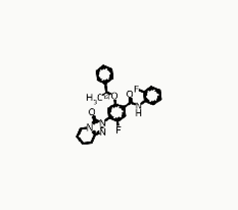 C[C@H](Oc1cc(-n2nc3n(c2=O)CCCC3)c(F)cc1C(=O)Nc1ccccc1F)c1ccccc1